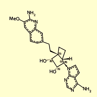 COc1cc2ccc(CC[C@@]34CC[C@@H]3[C@@H](n3ccc5c(N)ncnc53)[C@H](O)[C@@H]4O)cc2nc1N